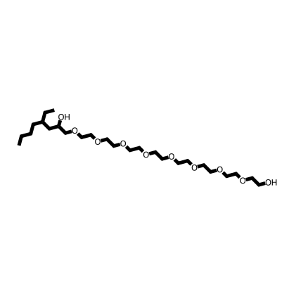 CCCCC(CC)CC(O)COCCOCCOCCOCCOCCOCCOCCOCCO